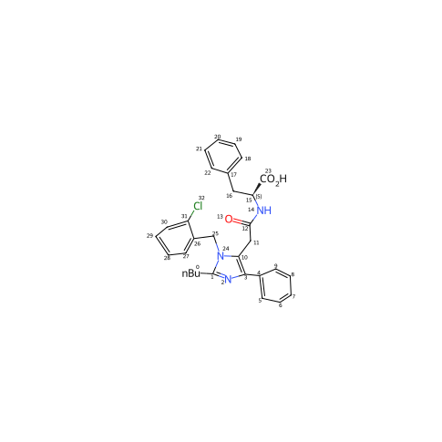 CCCCc1nc(-c2ccccc2)c(CC(=O)N[C@@H](Cc2ccccc2)C(=O)O)n1Cc1ccccc1Cl